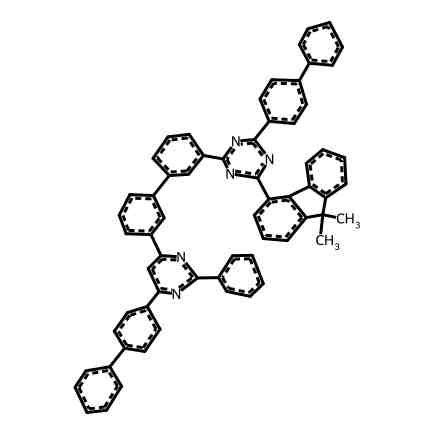 CC1(C)c2ccccc2-c2c(-c3nc(-c4ccc(-c5ccccc5)cc4)nc(-c4cccc(-c5cccc(-c6cc(-c7ccc(-c8ccccc8)cc7)nc(-c7ccccc7)n6)c5)c4)n3)cccc21